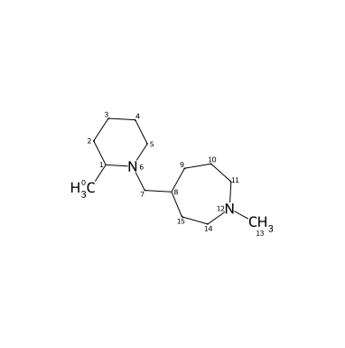 CC1CCCCN1CC1CCCN(C)CC1